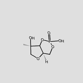 C[C@@]1(O)CO[C@@H]2COP(=O)(O)OC21